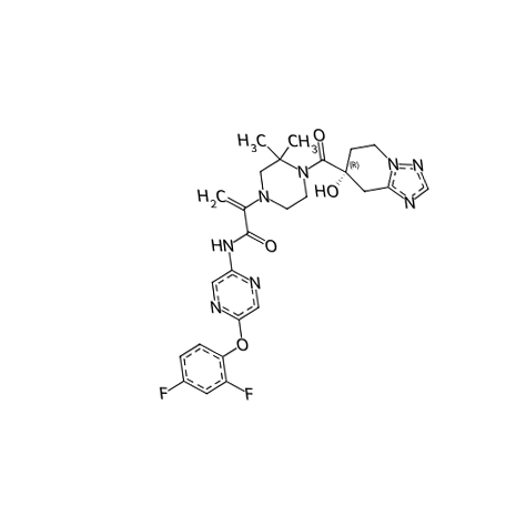 C=C(C(=O)Nc1cnc(Oc2ccc(F)cc2F)cn1)N1CCN(C(=O)[C@@]2(O)CCn3ncnc3C2)C(C)(C)C1